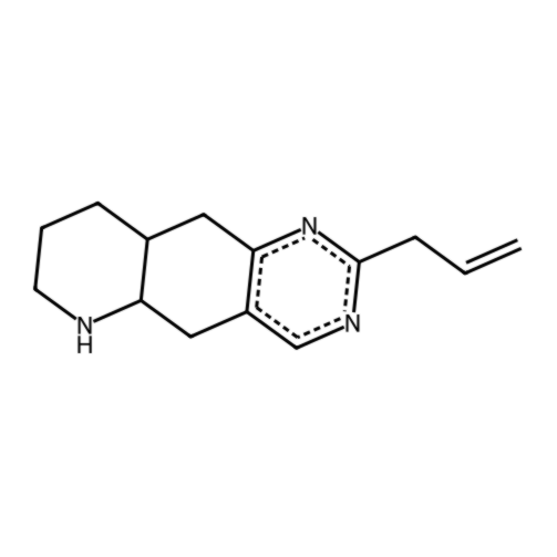 C=CCc1ncc2c(n1)CC1CCCNC1C2